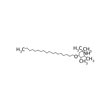 CCCCCCCCCCCCCCCCCCOC1CC(C)(C)NC(C)C1C